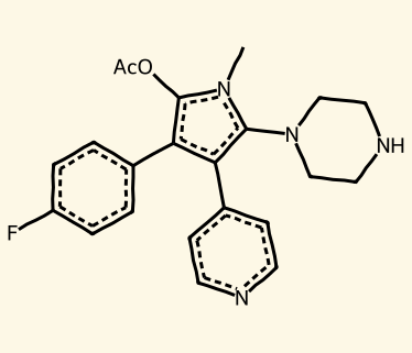 CC(=O)Oc1c(-c2ccc(F)cc2)c(-c2ccncc2)c(N2CCNCC2)n1C